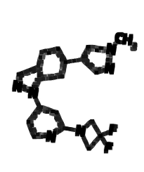 Cn1cc(-c2ccc3cnn(-c4ccnc(N5CC(F)(F)C5)c4)c3c2)cn1